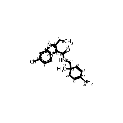 CCc1nc2cc(Cl)ccn2c1C(=O)NCC1(C)C=CC(N)=CC1